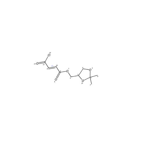 CC1(C)OCC(COC(=O)/C=C/C(=O)Cl)O1